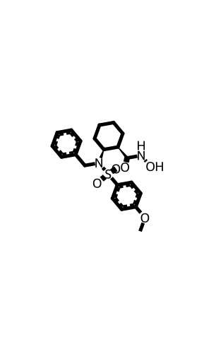 COc1ccc(S(=O)(=O)N(Cc2ccccc2)[C@H]2CCCC[C@H]2C(=O)NO)cc1